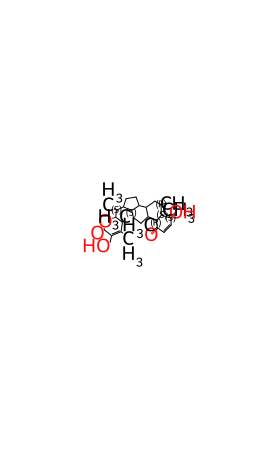 CC1=C(CO)C(=O)OC([C@@H](C)C2CCC3C4C[C@@H](C)[C@]5(C)[C@@H](O)C=CC(=O)[C@]5(C)C4CC[C@@]32C)C1